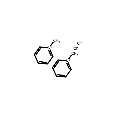 C[n+]1ccccc1.C[n+]1ccccc1.[Cl-].[Cl-]